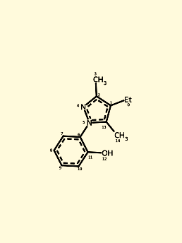 CCc1c(C)nn(-c2ccccc2O)c1C